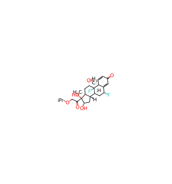 CC(C)OCC(=O)[C@@]1(O)[C@H](O)C[C@H]2[C@@H]3C[C@H](F)C4=CC(=O)C=C[C@]4(C)[C@@]3(F)[C@@H](O)C[C@@]21C